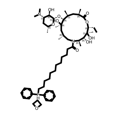 CC[C@H]1OC(=O)[C@H](C)C[C@H](C)[C@@H](O[C@@H]2O[C@H](C)C[C@H](N(C)C)[C@H]2O)[C@](C)(O)C[C@@H](C)CN(C(=O)CCCCCCCCCCC[PH](c2ccccc2)(c2ccccc2)C2COC2)[C@H](C)[C@@H](O)[C@]1(C)O